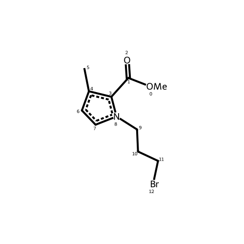 COC(=O)c1c(C)ccn1CCCBr